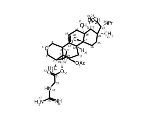 CC(=O)O[C@@H]1C[C@@]23COC[C@@](C)([C@@H]2CC[C@H]2C3=CC[C@@]3(C)[C@H](C(=O)O)[C@@](C)([C@H](C)C(C)C)CC[C@]23C)[C@H]1OC(=O)CNC(=N)N